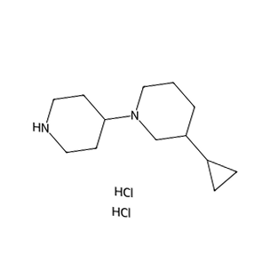 C1CC(C2CC2)CN(C2CCNCC2)C1.Cl.Cl